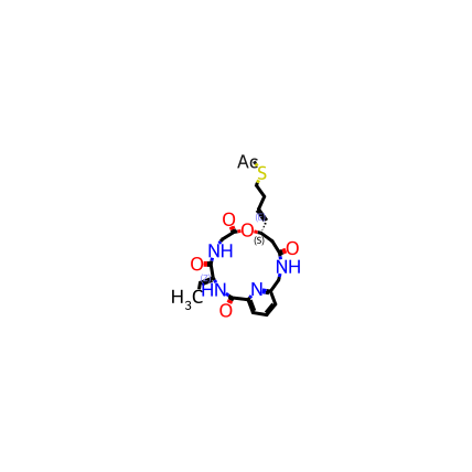 C/C=C1\NC(=O)c2cccc(n2)CNC(=O)C[C@@H](/C=C/CCSC(C)=O)OC(=O)CNC1=O